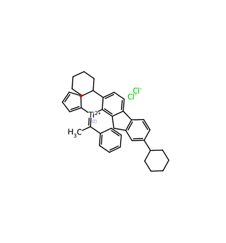 C/[C](c1ccccc1)=[Ti+2](\[C]1=CC=CC1)[c]1c(C2CCCCC2)ccc2c1Cc1cc(C3CCCCC3)ccc1-2.[Cl-].[Cl-]